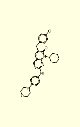 O=c1c(Cc2ccc(Cl)cc2)cc2cnc(Nc3ccc(N4CCOCC4)cc3)nc2n1C1CCCCC1